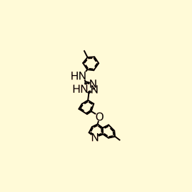 Cc1cccc(Nc2nnc(-c3cccc(Oc4ccnc5cc(C)ccc45)c3)[nH]2)c1